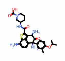 Cc1cc(C2(N)C(=O)C(N)c3c(C(=O)NC4CCCN(C(=O)O)C4)sc4c(N)ccc2c34)ccc1OC(C)C